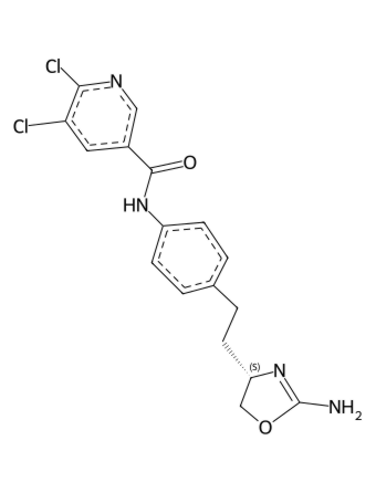 NC1=N[C@@H](CCc2ccc(NC(=O)c3cnc(Cl)c(Cl)c3)cc2)CO1